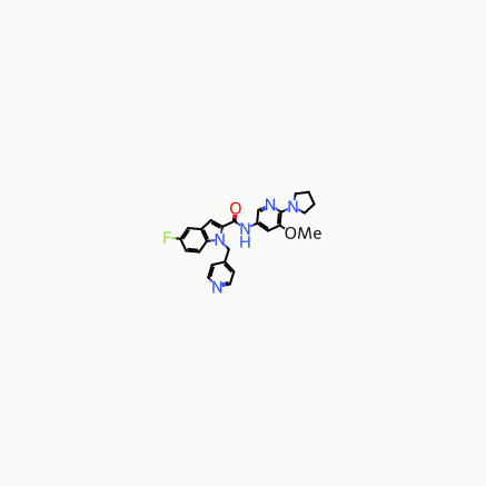 COc1cc(NC(=O)c2cc3cc(F)ccc3n2Cc2ccncc2)cnc1N1CCCC1